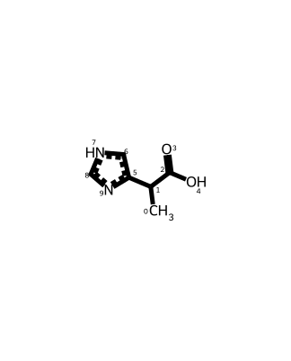 CC(C(=O)O)c1c[nH]cn1